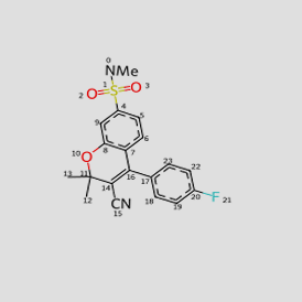 CNS(=O)(=O)c1ccc2c(c1)OC(C)(C)C(C#N)=C2c1ccc(F)cc1